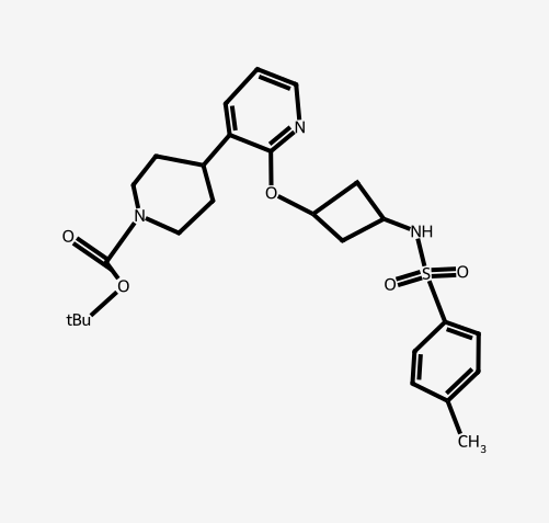 Cc1ccc(S(=O)(=O)NC2CC(Oc3ncccc3C3CCN(C(=O)OC(C)(C)C)CC3)C2)cc1